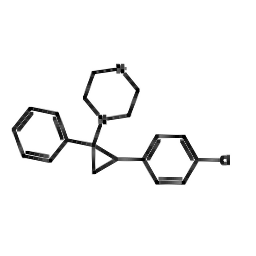 Clc1ccc(C2CC2(c2ccccc2)N2CC[N]CC2)cc1